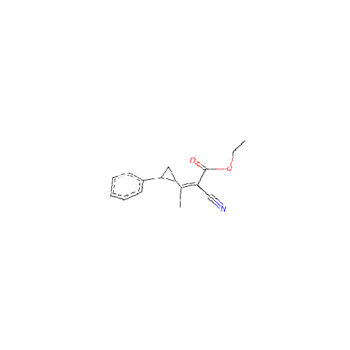 CCOC(=O)/C(C#N)=C(/C)C1CC1c1ccccc1